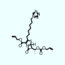 C=CCOC(=O)O[C@H](C)[C@H]1C(=O)N2C(C(=O)OCC=C)=C(CCCCCCCn3cnnn3)S[C@H]12